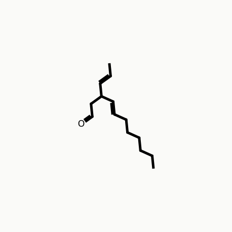 CC=CC(C=CCCCCCC)CC=O